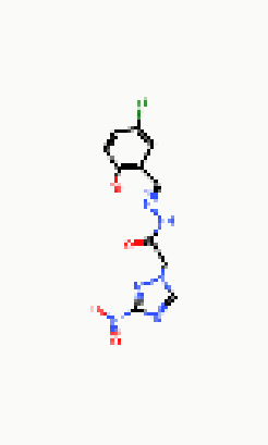 O=C(Cn1cnc([N+](=O)[O-])n1)N/N=C/c1cc(Cl)ccc1O